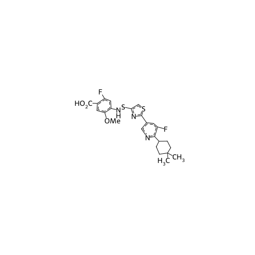 COc1cc(C(=O)O)c(F)cc1NSc1csc(-c2cnc(C3CCC(C)(C)CC3)c(F)c2)n1